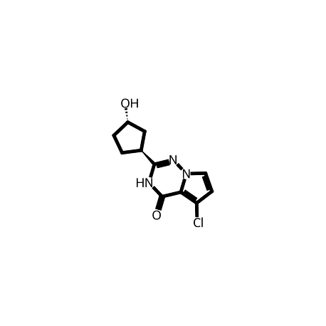 O=c1[nH]c([C@H]2CC[C@H](O)C2)nn2ccc(Cl)c12